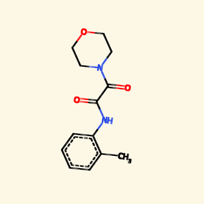 Cc1ccccc1NC(=O)C(=O)N1CCOCC1